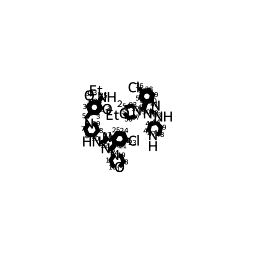 CCOc1cc(CN2CCC(Nc3nc(N4CCOCC4)c4cc(Cl)ccc4n3)CC2)cc(OCC)c1N.Clc1ccc2nc(NC3CCNCC3)nc(N3CCOCC3)c2c1